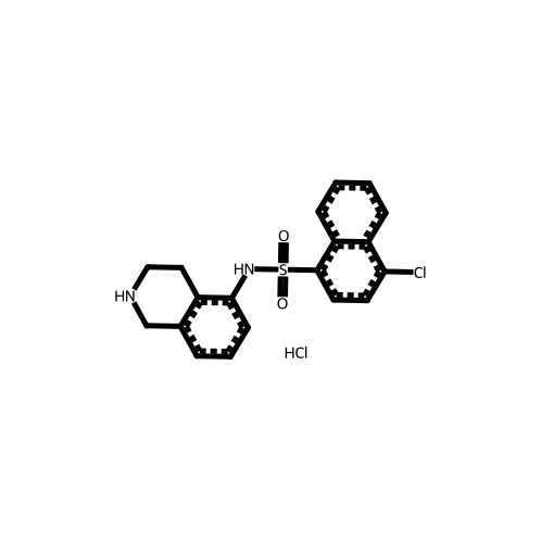 Cl.O=S(=O)(Nc1cccc2c1CCNC2)c1ccc(Cl)c2ccccc12